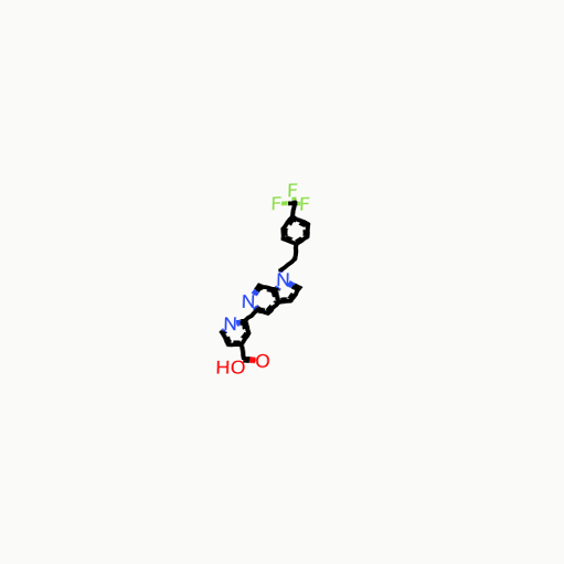 O=C(O)c1ccnc(-c2cc3ccn(CCc4ccc(C(F)(F)F)cc4)c3cn2)c1